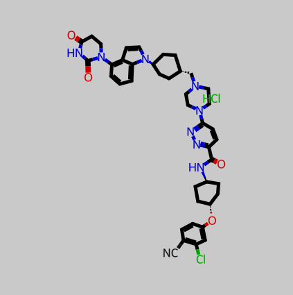 Cl.N#Cc1ccc(O[C@H]2CC[C@H](NC(=O)c3ccc(N4CCN(C[C@H]5CC[C@H](n6ccc7c(N8CCC(=O)NC8=O)cccc76)CC5)CC4)nn3)CC2)cc1Cl